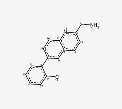 NCc1ccc2cc(-c3ccccc3Cl)ccc2n1